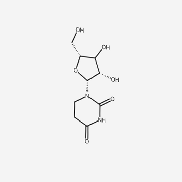 O=C1CCN([C@@H]2O[C@H](CO)C(O)[C@@H]2O)C(=O)N1